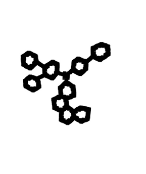 c1ccc(-c2ccc(N(c3ccc(-c4ccccc4)c(-c4ccccc4)c3)c3ccc4c(ccc5ccc6ccccc6c54)c3)cc2)cc1